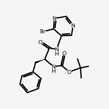 CC(C)(C)OC(=O)N[C@@H](Cc1ccccc1)C(=O)Nc1cncnc1Br